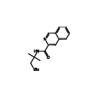 CC(C)(C)CC(C)(C)NC(=O)c1cc2ccccc2cn1